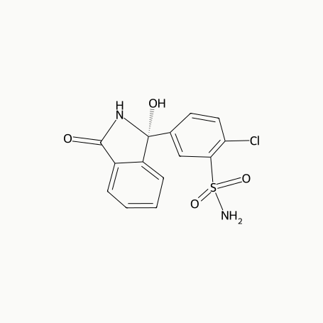 NS(=O)(=O)c1cc([C@]2(O)NC(=O)c3ccccc32)ccc1Cl